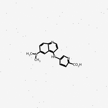 CN(C)c1ccc2nccc(Nc3ccc(C(=O)O)nc3)c2c1